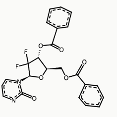 O=C(OC[C@H]1O[C@@H](n2cccnc2=O)C(F)(F)[C@@H]1OC(=O)c1ccccc1)c1ccccc1